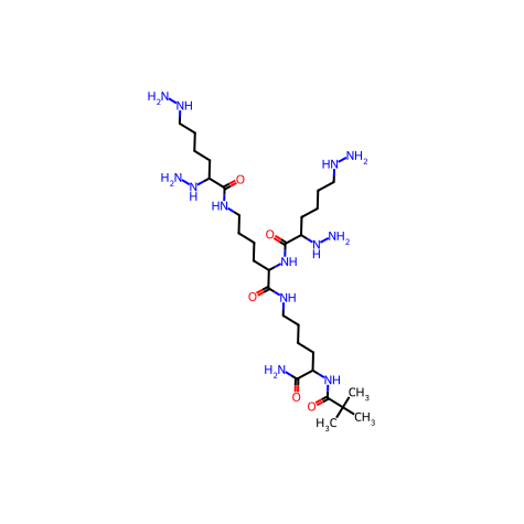 CC(C)(C)C(=O)NC(CCCCNC(=O)C(CCCCNC(=O)C(CCCCNN)NN)NC(=O)C(CCCCNN)NN)C(N)=O